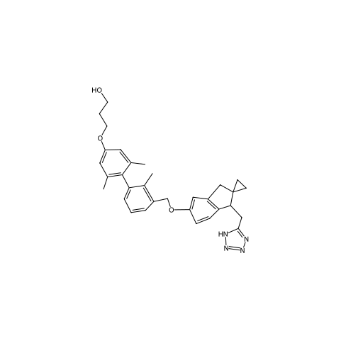 Cc1cc(OCCCO)cc(C)c1-c1cccc(COc2ccc3c(c2)CC2(CC2)C3Cc2nnn[nH]2)c1C